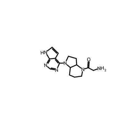 NCC(=O)N1CCCC2C1CCN2c1ncnc2[nH]ccc12